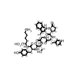 NCCCC[C@@H](NC(=O)[C@H](Cc1ccc(O)cc1)NC(=O)[C@@H](CO)NC(=O)[C@H](Cc1c[nH]c2ccccc12)NC(=O)[C@@H](Cc1c[nH]cn1)NC(=O)[C@@H]1CCC(=O)N1)C(=O)O